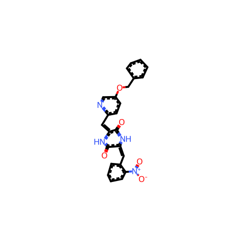 O=c1[nH]c(=Cc2ccccc2[N+](=O)[O-])c(=O)[nH]c1=Cc1ccc(OCc2ccccc2)cn1